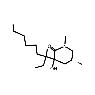 CCCCCCC(C)(CC)C1(O)C[C@@H](C)CN(C)C1=O